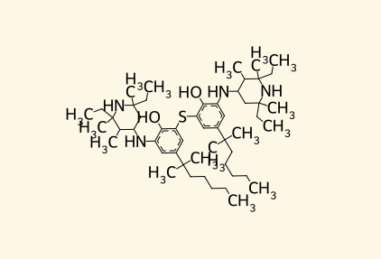 CCCCCC(C)(C)c1cc(NC2CC(C)(CC)NC(C)(CC)C2C)c(O)c(Sc2cc(C(C)(C)CCCCC)cc(NC3CC(C)(CC)NC(C)(CC)C3C)c2O)c1